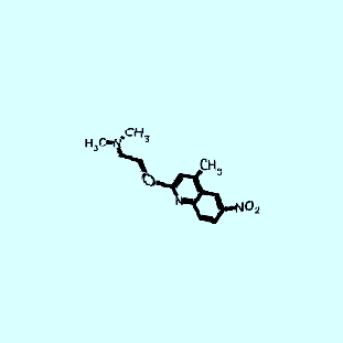 Cc1cc(OCCN(C)C)nc2ccc([N+](=O)[O-])cc12